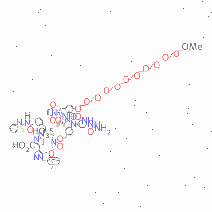 COCCOCCOCCOCCOCCOCCOCCOCCOCCOCCOCCOc1ccc(C[C@@H](C(=O)N[C@H](C(=O)N(c2ccc(COC(=O)N(CCOC34CC5(C)CC(C)(CC(Cn6ncc(-c7ccc(N8CCc9cccc(C(=O)Nc%10nc%11ccccc%11s%10)c9C8)nc7C(=O)O)c6C)(C5)C3)C4)CCS(=O)(=O)O)cc2)[C@@H](CCCNC(N)=O)C(N)=O)C(C)C)N2C(=O)C=CC2=O)cc1